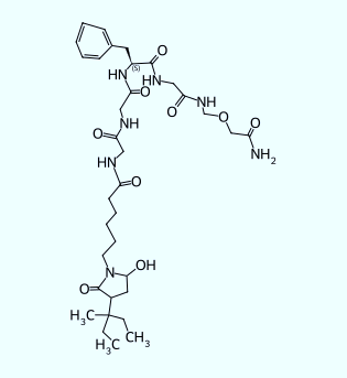 CCC(C)(CC)C1CC(O)N(CCCCCC(=O)NCC(=O)NCC(=O)N[C@@H](Cc2ccccc2)C(=O)NCC(=O)NCOCC(N)=O)C1=O